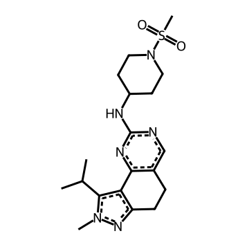 CC(C)c1c2c(nn1C)CCc1cnc(NC3CCN(S(C)(=O)=O)CC3)nc1-2